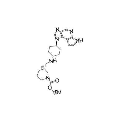 CC(C)(C)OC(=O)N1CCC[C@H](CN[C@H]2CC[C@H](n3cnc4cnc5[nH]ccc5c43)CC2)C1